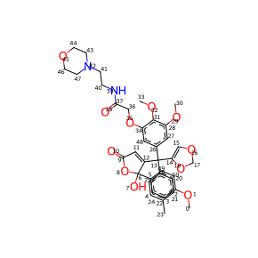 COc1ccc(C2(O)OC(=O)C=C2C(C2=COCO2)(c2ccc(C)cc2)c2cc(OC)c(OC)c(OCC(=O)NCCN3CCOCC3)c2)cc1